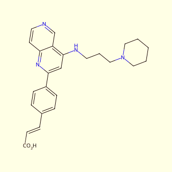 O=C(O)/C=C/c1ccc(-c2cc(NCCCN3CCCCC3)c3cnccc3n2)cc1